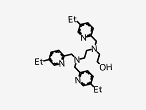 CCc1ccc(CN(CCO)CCN(Cc2ccc(CC)cn2)Cc2ccc(CC)cn2)nc1